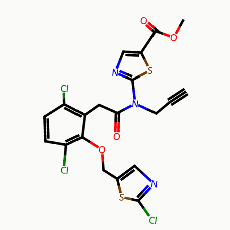 C#CCN(C(=O)Cc1c(Cl)ccc(Cl)c1OCc1cnc(Cl)s1)c1ncc(C(=O)OC)s1